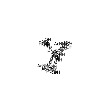 CC(=O)NC1C(OCCOCCOCCNC(=O)CN(CC(=O)NCCOCCOCCOC2OC(CO)C(O)C(O)C2NC(C)=O)C(=O)CCC(NC(=O)c2ccc(OC(C)(C)C)cc2)C(=O)N(CC(=O)NCCOCCOCCOC2OC(CO)C(O)C(O)C2N)CC(=O)NCCOCCOCCOC2OC(CO)C(O)C(O)C2NC(C)=O)OC(CO)C(O)C1O